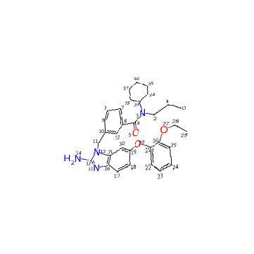 CCCN(C(=O)c1cccc(Cn2c(N)nc3ccc(Oc4ccccc4OCC)cc32)c1)C1CCCCC1